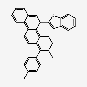 Cc1ccc(C2=c3ccc4c(c3CCC2C)C(c2cc3ccccc3s2)C=c2ccccc2=4)cc1